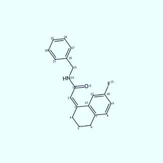 O=C(/C=C1/CCCc2ccc(F)cc21)NCc1ccccc1